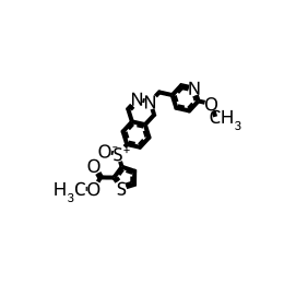 COC(=O)c1sccc1[S+]([O-])c1ccc2c(c1)C=NN(Cc1ccc(OC)nc1)C2